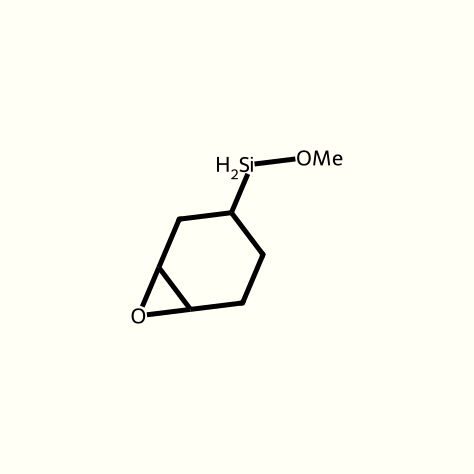 CO[SiH2]C1CCC2OC2C1